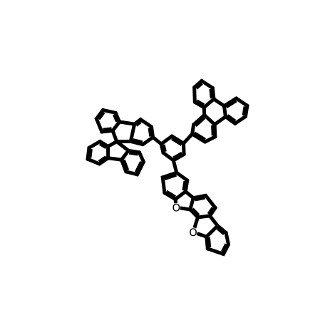 c1ccc2c(c1)-c1ccccc1C21c2ccccc2-c2ccc(-c3cc(-c4ccc5oc6c(ccc7c8ccccc8oc76)c5c4)cc(-c4ccc5c6ccccc6c6ccccc6c5c4)c3)cc21